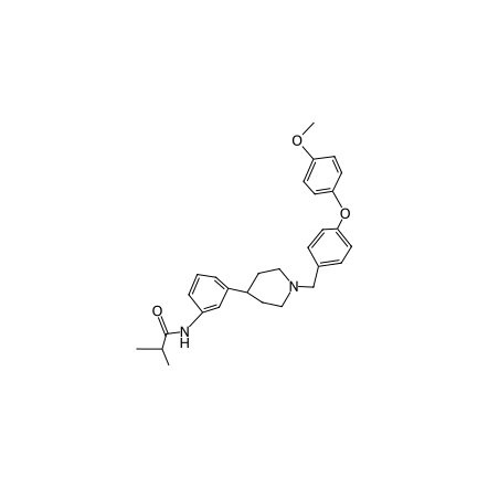 COc1ccc(Oc2ccc(CN3CCC(c4cccc(NC(=O)C(C)C)c4)CC3)cc2)cc1